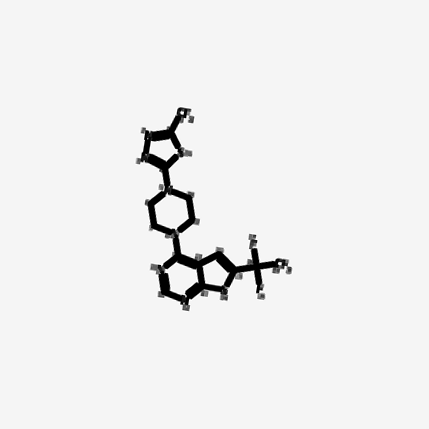 FC(F)(F)c1nnc(N2CCN(c3ncnc4sc(C(F)(F)C(F)(F)F)cc34)CC2)s1